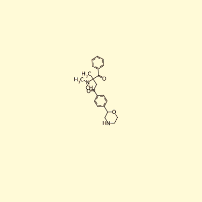 CN(C)C(C)(CC(=O)c1ccc(C2CNCCO2)cc1)C(=O)c1ccccc1